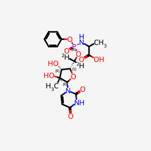 [2H]C([2H])(O[P@](=O)(NC(C)C(=O)O)Oc1ccccc1)[C@@H]1O[C@@H](n2ccc(=O)[nH]c2=O)[C@](C)(O)[C@@H]1O